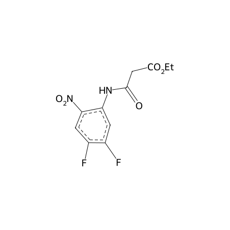 CCOC(=O)CC(=O)Nc1cc(F)c(F)cc1[N+](=O)[O-]